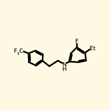 CCc1ccc(NCCc2ccc(C(F)(F)F)cc2)cc1F